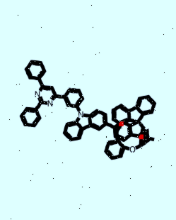 Cc1c2ccc3c1C1(c4ccccc4-c4cccc(c41)Cc1ccccc1O2)c1cc(-c2ccc4c(c2)c2ccccc2n4-c2cccc(-c4cc(-c5ccccc5)nc(-c5ccccc5)n4)c2)ccc1-3